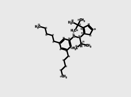 CCCCCc1cc(CCCCC)cc([O][Ti]([C]2=C(C(C)(C)C)C=CC2)[SiH](C)C)c1